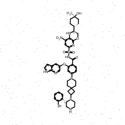 CC(C)c1ccccc1[C@H]1CNCCN1C1CC2(CCN(c3ccc(C(=O)NS(=O)(=O)c4cc([N+](=O)[O-])c5c(n4)OC[C@H]([C@H]4CC[C@](C)(O)CC4)N5)c(Oc4cnc5[nH]ccc5c4)c3)CC2)C1